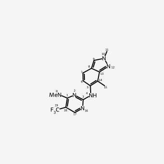 CNc1nc(Nc2ccc3cn(C)nc3c2C)ncc1C(F)(F)F